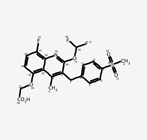 Cc1c(Cc2ccc(S(C)(=O)=O)cc2)c(OC(F)F)nc2c(F)ccc(OCC(=O)O)c12